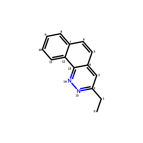 CCc1cc2ccc3ccccc3c2nn1